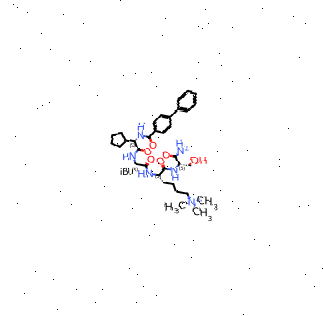 CC[C@H](C)C(NC(=O)[C@@H](NC(=O)c1ccc(-c2ccccc2)cc1)C1CCCC1)C(=O)N[C@@H](CCCC[N+](C)(C)C)C(=O)N[C@@H](CO)C(N)=O